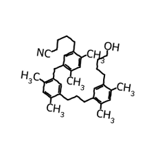 Cc1cc(C)c(CCCc2cc(Cc3cc(CCCCC#N)c(C)cc3C)c(C)cc2C)cc1CCCCO